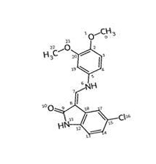 COc1ccc(N/C=C2/C(=O)Nc3ccc(Cl)cc32)cc1OC